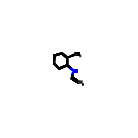 C=CNC1CCCC[C@H]1C